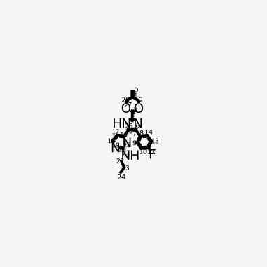 C=C1COC(c2nc(-c3ccc(F)cc3)c(-c3ccnc(NCCC)n3)[nH]2)OC1